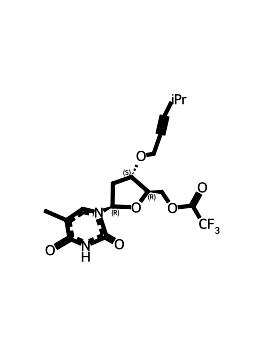 Cc1cn([C@H]2C[C@H](OCC#CC(C)C)[C@@H](COC(=O)C(F)(F)F)O2)c(=O)[nH]c1=O